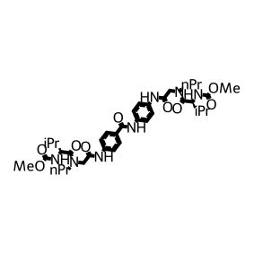 CCCN(CC(=O)Nc1ccc(NC(=O)c2ccc(NC(=O)CN(CCC)C(=O)[C@@H](NC(=O)OC)C(C)C)cc2)cc1)C(=O)[C@@H](NC(=O)OC)C(C)C